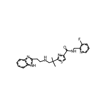 CC(C)(CNCCc1nc2ccccc2[nH]1)c1nc(C(=O)NCc2ncccc2F)cs1